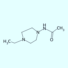 CCN1CCN(NC(C)=O)CC1